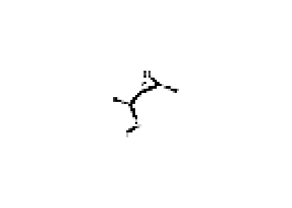 C[C@@H]1O[C@H]1[C@H](C)SI